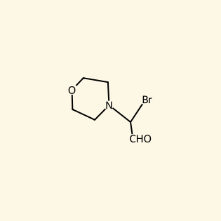 O=CC(Br)N1CCOCC1